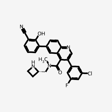 CN(C[C@@H]1CCN1)C(=O)c1c(-c2cc(F)cc(Cl)c2)cnc2ccc(-c3cccc(C#N)c3O)cc12